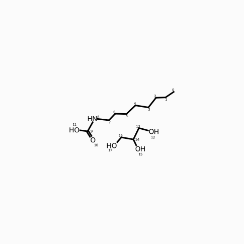 CCCCCCCCNC(=O)O.OCC(O)CO